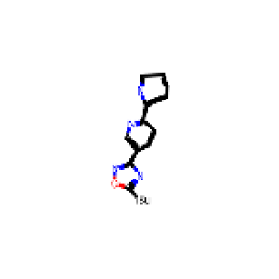 CCC(C)c1nc(-c2ccc(-c3ccccn3)nc2)no1